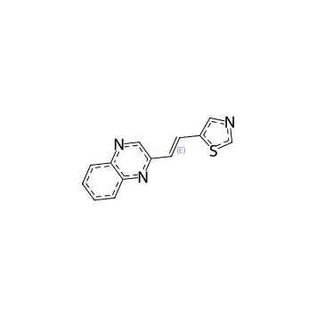 C(=C\c1cncs1)/c1cnc2ccccc2n1